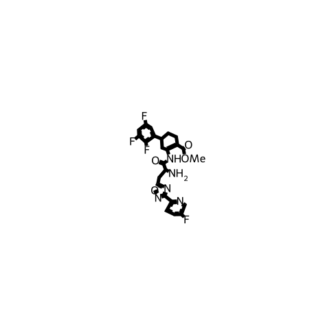 COC(=O)C1=C(NC(=O)C(N)Cc2nc(-c3ccc(F)cn3)no2)CC(c2cc(F)cc(F)c2F)CC1